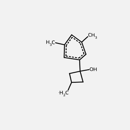 [CH2]C1CC(O)(c2cc(C)cc(C)c2)C1